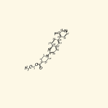 CCOC(=O)C1CCN(c2ccc3cc(-c4ccncc4F)ccc3n2)CC1